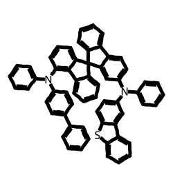 c1ccc(-c2ccc(N(c3ccccc3)c3cccc4c3-c3ccccc3C43c4ccccc4-c4ccc(N(c5ccccc5)c5ccc6sc7ccccc7c6c5)cc43)cc2)cc1